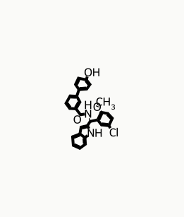 COc1ccc(Cl)cc1[C@@H](NC(=O)c1cccc(-c2ccc(O)cc2)c1)c1cc2ccccc2[nH]1